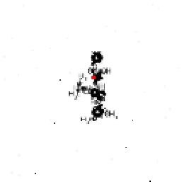 CC[BH-](CC)CC.COc1ccc(CNc2nccc3c(NCC45CN(C(=O)OCc6ccccc6)C(CO)(C4)C5)cccc23)c(OC)c1.[Li+]